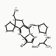 COCC(C)N[C@H]1CC[C@H](Nc2c3c(nc4c(Br)cnn24)C2(CCCC2)C(CO)C3)C1